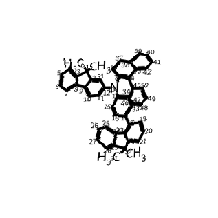 CC1(C)c2ccccc2-c2ccc(N(c3ccc(-c4cccc5c4-c4ccccc4C5(C)C)cc3)c3ccc4ccccc4c3-c3ccccc3)cc21